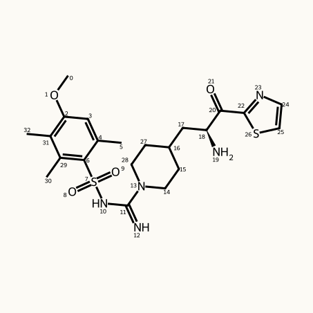 COc1cc(C)c(S(=O)(=O)NC(=N)N2CCC(C[C@H](N)C(=O)c3nccs3)CC2)c(C)c1C